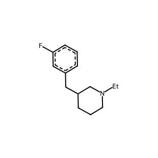 CCN1CCCC(Cc2cccc(F)c2)C1